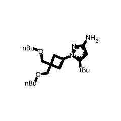 CCCCOCC1(COCCCC)CC(n2nc(N)cc2C(C)(C)C)C1